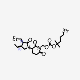 C/C=C1/CN(C2CCC(=O)N(COC(=O)OC(C)(C)CCCC(C)C)C2=O)C(=O)/C1=C/CC